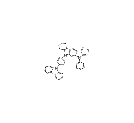 c1ccc(-n2c3ccccc3c3cc4c5c(n(-c6ccc(-n7c8ccccc8c8ccccc87)cc6)c4cc32)CCCC5)cc1